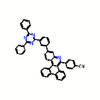 N#Cc1ccc(-c2nc3cc(-c4cccc(-c5nc(-c6ccccc6)nc(-c6ccccc6)n5)c4)ccc3c3c4ccccc4c4ccccc4c23)cc1